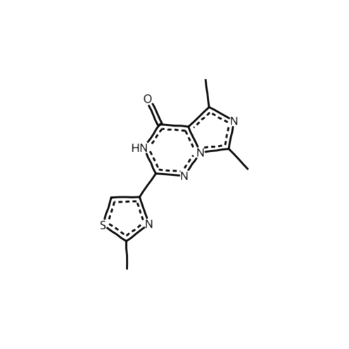 Cc1nc(-c2nn3c(C)nc(C)c3c(=O)[nH]2)cs1